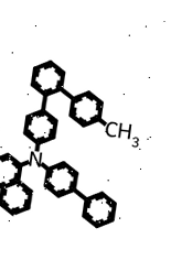 Cc1ccc(-c2ccccc2-c2ccc(N(c3ccc(-c4ccccc4)cc3)c3cccc4ccccc34)cc2)cc1